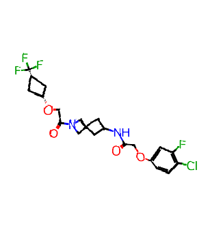 O=C(COc1ccc(Cl)c(F)c1)NC1CC2(C1)CN(C(=O)CO[C@H]1C[C@@H](C(F)(F)F)C1)C2